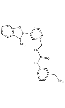 NCc1cccc(NC(=O)NCc2cccc(N3Oc4ccccc4C3N)c2)c1